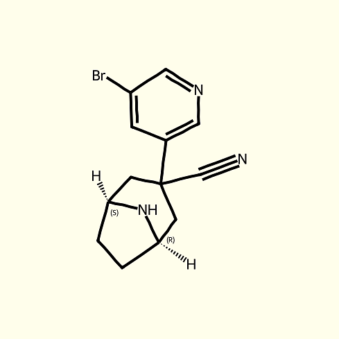 N#CC1(c2cncc(Br)c2)C[C@H]2CC[C@@H](C1)N2